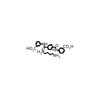 NCCCCN.O=C(O)c1cccc(NC(=O)c2ccc(C(=O)Nc3cccc(C(=O)O)c3)cc2)c1